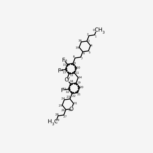 CCCC1CCC(CCc2cc3c(c(F)c2F)Oc2c(ccc(C4CCC(CCC)OC4)c2F)C3)CC1